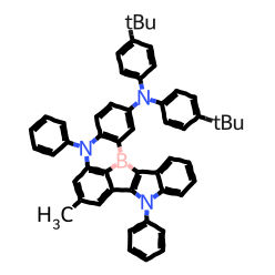 Cc1cc2c3c(c1)N(c1ccccc1)c1ccc(N(c4ccc(C(C)(C)C)cc4)c4ccc(C(C)(C)C)cc4)cc1B3c1c-2n(-c2ccccc2)c2ccccc12